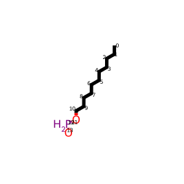 CCCCCCCCCCCO[PH2]=O